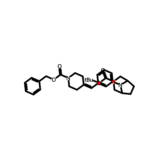 CC(C)(C)OC(=O)N1CC2CCC(C1)N2c1cccc(C=C2CCN(C(=O)OCc3ccccc3)CC2)c1